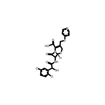 O=C(O)C1=C(CSc2ccncc2)CS[C@@H]2C(NC(=O)C(S)c3cc(Cl)ccc3Cl)C(=O)N12